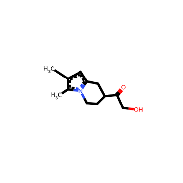 Cc1cc2n(c1C)CCC(C(=O)CO)C2